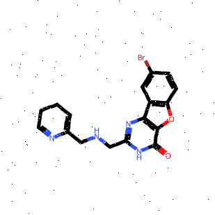 O=c1[nH]c(CNCC2=CCCC=N2)nc2c1oc1ccc(Br)cc12